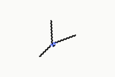 CCCCCCCCCCCCCCCc1n(CCCCCCCCCCC)cc[n+]1CCCCCCCCCCCCCCC